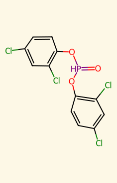 O=[PH](Oc1ccc(Cl)cc1Cl)Oc1ccc(Cl)cc1Cl